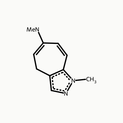 CNC1=CCc2cnn(C)c2C=C1